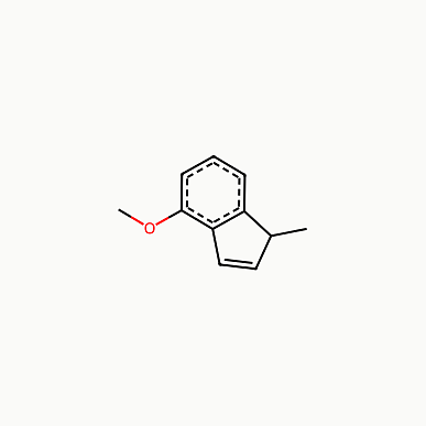 COc1cccc2c1C=CC2C